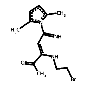 CC(=O)/C(=C/C(=N)n1c(C)ccc1C)NCCBr